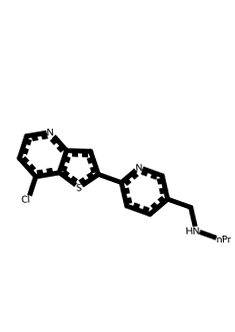 CCCNCc1ccc(-c2cc3nccc(Cl)c3s2)nc1